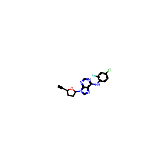 C#CC1CCC(n2cnc3c(Nc4ccc(Cl)cc4F)ncnc32)O1